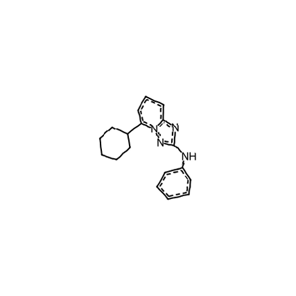 c1ccc(Nc2nc3cccc(C4CCCCC4)n3n2)cc1